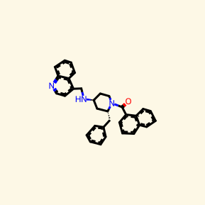 O=C(c1cccc2ccccc12)N1CC[C@H](NCc2ccnc3ccccc23)C[C@H]1Cc1ccccc1